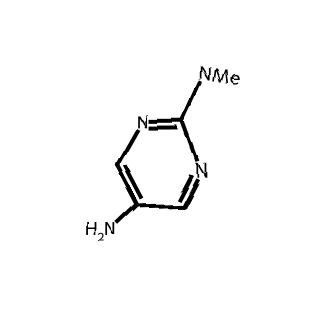 CNc1ncc(N)cn1